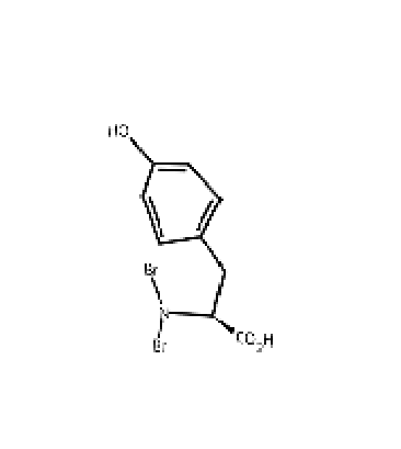 O=C(O)[C@H](Cc1ccc(O)cc1)N(Br)Br